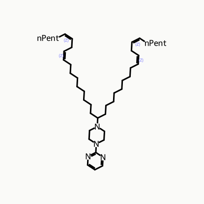 CCCCC/C=C\C/C=C\CCCCCCCCC(CCCCCCCC/C=C\C/C=C\CCCCC)N1CCN(c2ncccn2)CC1